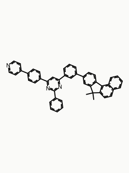 CC1(C)c2cc(-c3cccc(-c4cc(-c5ccc(-c6ccncc6)cc5)nc(-c5ccccc5)n4)c3)ccc2-c2c1ccc1ccccc21